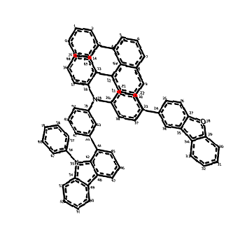 c1ccc(-c2cccc3cccc(-c4ccccc4N(c4ccc(-c5ccc6oc7ccccc7c6c5)cc4)c4cccc(-c5cccc6c7ccccc7n(-c7ccccc7)c56)c4)c23)cc1